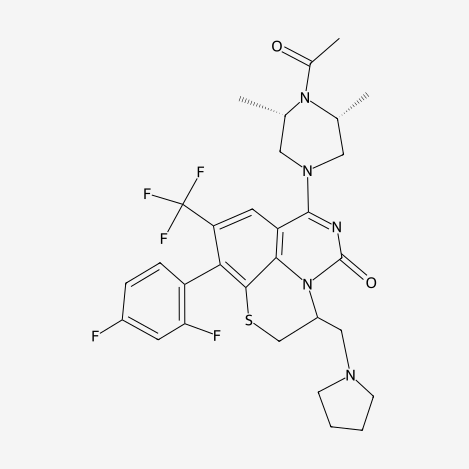 CC(=O)N1[C@H](C)CN(c2nc(=O)n3c4c(c(-c5ccc(F)cc5F)c(C(F)(F)F)cc24)SCC3CN2CCCC2)C[C@@H]1C